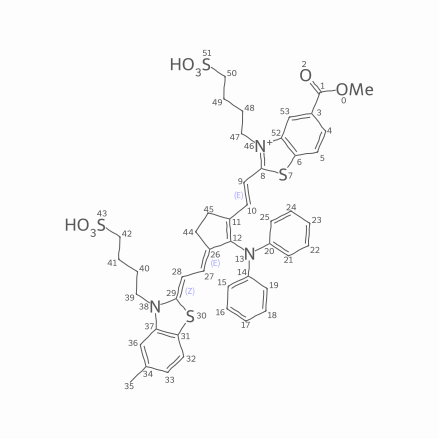 COC(=O)c1ccc2sc(/C=C/C3=C(N(c4ccccc4)c4ccccc4)C(=C/C=C4\Sc5ccc(C)cc5N4CCCCS(=O)(=O)O)/CC3)[n+](CCCCS(=O)(=O)O)c2c1